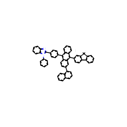 CC1(C)c2ccccc2-c2ccc(-c3c4ccccc4c(-c4ccc(-c5nc6ccccc6n5-c5ccccc5)cc4)c4ccc(-c5cccc6ccccc56)cc34)cc21